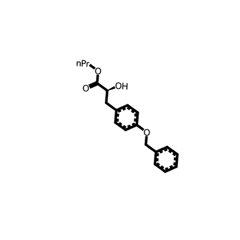 CCCOC(=O)[C@@H](O)Cc1ccc(OCc2ccccc2)cc1